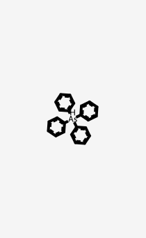 c1ccc([AsH](c2ccccc2)(c2ccccc2)c2ccccc2)cc1